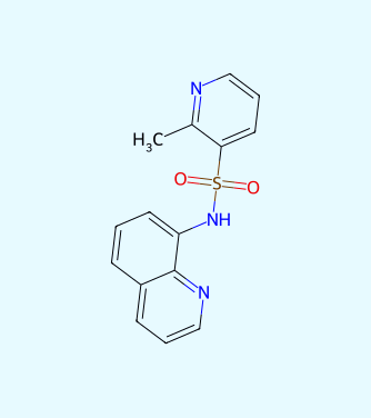 Cc1ncccc1S(=O)(=O)Nc1cccc2cccnc12